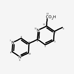 Cc1ccc(-c2cncnc2)nc1C(=O)O